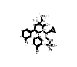 CC(C)S(=O)(=O)NC[C@H](C1CC1)N1C(=O)[C@@](C)(CC(=O)O)CC(c2cccc(Cl)c2)[C@H]1c1ccc(Cl)cc1